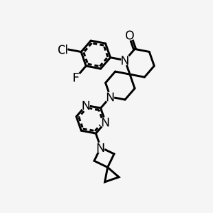 O=C1CCCC2(CCN(c3nccc(N4CC5(CC5)C4)n3)CC2)N1c1ccc(Cl)c(F)c1